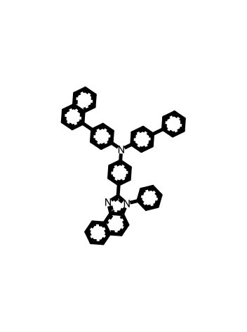 c1ccc(-c2ccc(N(c3ccc(-c4cccc5ccccc45)cc3)c3ccc(-c4nc5c6ccccc6ccc5n4-c4ccccc4)cc3)cc2)cc1